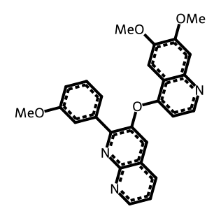 COc1cccc(-c2nc3ncccc3cc2Oc2ccnc3cc(OC)c(OC)cc23)c1